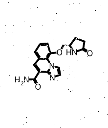 NC(=O)c1cc2cccc(OC[C@@H]3CCC(=O)N3)c2n2ccnc12